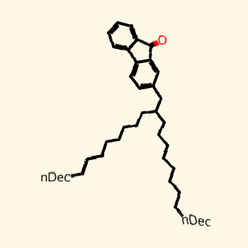 CCCCCCCCCCCCCCCCCCC(CCCCCCCCCCCCCCCCCC)Cc1ccc2c(c1)C(=O)c1ccccc1-2